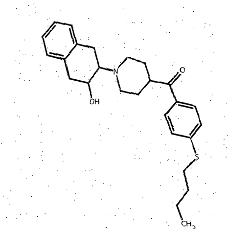 CCCCSc1ccc(C(=O)C2CCN(C3Cc4ccccc4CC3O)CC2)cc1